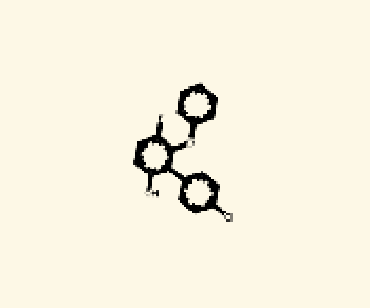 Oc1ccc(F)c(Oc2ccccc2)c1-c1ccc(Cl)cc1